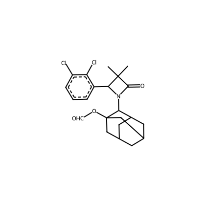 CC1(C)C(=O)N(C2C3CC4CC(C3)CC2(OC=O)C4)C1c1cccc(Cl)c1Cl